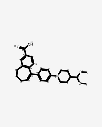 COC(OC)C1CCN(c2ccc(C3=CCCCc4cc(C(=O)O)ccc43)cc2)CC1